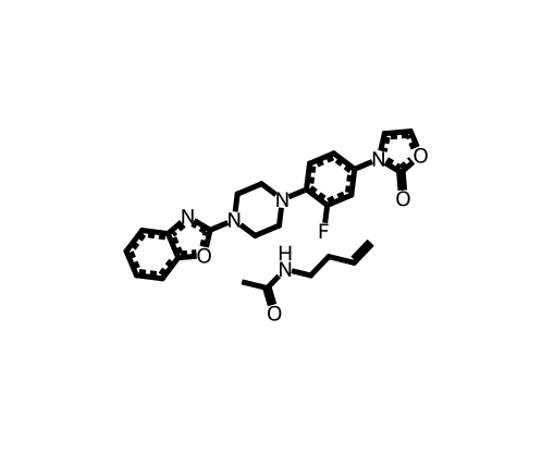 C=CCCNC(C)=O.O=c1occn1-c1ccc(N2CCN(c3nc4ccccc4o3)CC2)c(F)c1